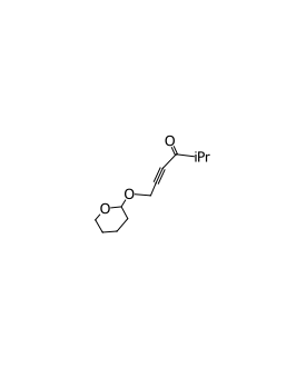 CC(C)C(=O)C#CCOC1CCCCO1